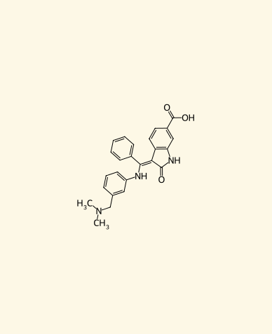 CN(C)Cc1cccc(N/C(=C2\C(=O)Nc3cc(C(=O)O)ccc32)c2ccccc2)c1